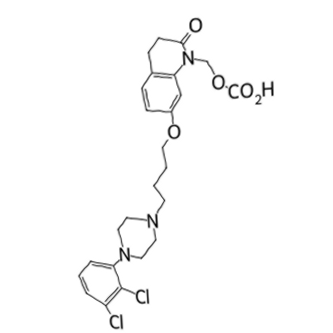 O=C(O)OCN1C(=O)CCc2ccc(OCCCCN3CCN(c4cccc(Cl)c4Cl)CC3)cc21